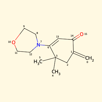 C=C1CC(C)(C)C(N2CCOCC2)=CC1=O